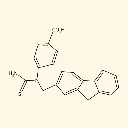 NC(=S)N(Cc1ccc2c(c1)Cc1ccccc1-2)c1ccc(C(=O)O)cc1